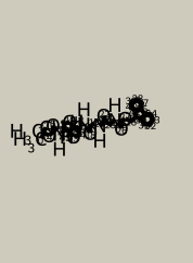 CC(C)(C)OC(=O)N[C@H]1CO[C@H]2[C@@H]1OC[C@@H]2NC(=O)CNC(=O)CNC(=O)OCC1c2ccccc2-c2ccccc21